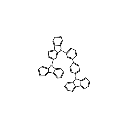 c1cc(-c2ccc(-n3c4ccccc4c4ccccc43)cc2)cc(-n2c3ccccc3c3ccc(-n4c5ccccc5c5ccccc54)cc32)c1